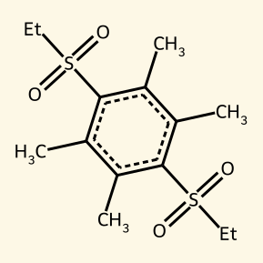 CCS(=O)(=O)c1c(C)c(C)c(S(=O)(=O)CC)c(C)c1C